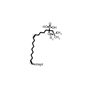 CCCCCCC/C=C\CCCCCCC/C=C\CCCCC(O)(C[N+](C)(C)C)P(=O)(O)O